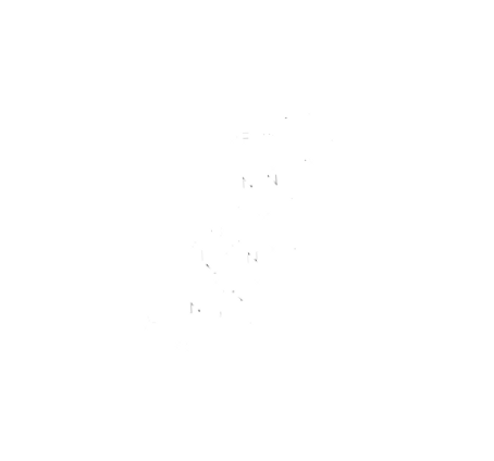 CC(=O)N1C[C@H]2CN(c3cccc4c3cnn4-c3ccccc3F)C(=O)[C@H]2C1